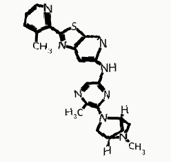 Cc1cccnc1-c1nc2cc(Nc3cnc(C)c(N4C[C@@H]5C[C@H]4CN5C)n3)ncc2s1